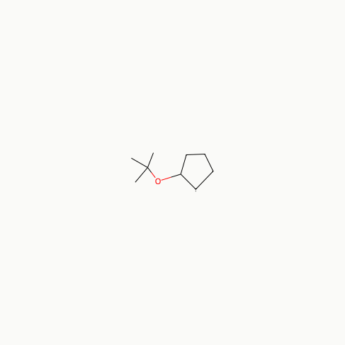 CC(C)(C)OC1[CH]CCC1